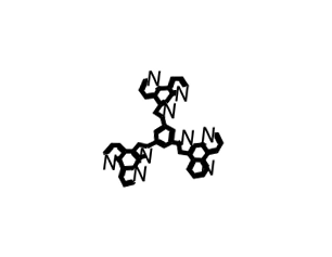 c1cnc2c(c1)c1c(c3ncccc32)N=C(c2cc(C3=Nc4c(c5cccnc5c5cccnc45)C3)cc(C3=Nc4c(c5cccnc5c5cccnc45)C3)c2)C1